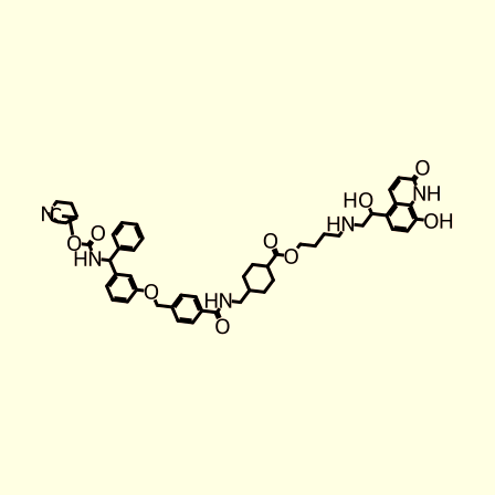 O=C(NC(c1ccccc1)c1cccc(OCc2ccc(C(=O)NCC3CCC(C(=O)OCCCCNCC(O)c4ccc(O)c5[nH]c(=O)ccc45)CC3)cc2)c1)OC1CN2CCC1CC2